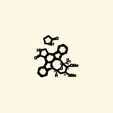 CN[C@H]1C[C@@H]2O[C@](C)([C@H]1OC)n1c3ccccc3c3c4c(c5c6ccccc6n2c5c31)C(=O)NC4.O=C1CCCN1